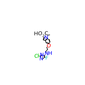 CC(C(=O)O)n1ccc2cc(OCCCNc3nc(Cl)ncc3F)ccc21